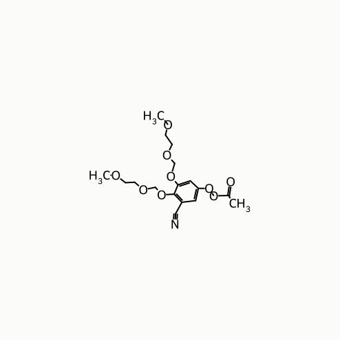 COCCOCOc1cc(OOC(C)=O)cc(C#N)c1OCOCCOC